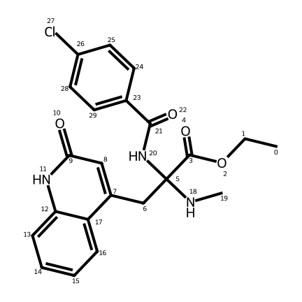 CCOC(=O)C(Cc1cc(=O)[nH]c2ccccc12)(NC)NC(=O)c1ccc(Cl)cc1